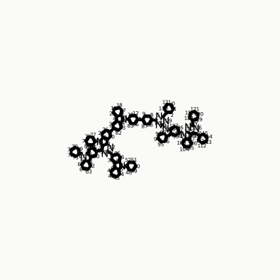 c1ccc(-c2nc(-c3ccc(-c4ccc(-n5c6ccccc6c6cc(-c7ccc8c(c7)c7nc(-c9ccc%10c(c9)c9ccccc9n%10-c9ccccc9)nc(-c9ccc%10c(c9)c9ccccc9n%10-c9ccccc9)c7n8-c7ccccc7)ccc65)cc4)cc3)nc(-n3c4ccccc4c4cc(-n5c6ccccc6c6c(-c7ccccc7)nc(-c7ccccc7)nc65)ccc43)n2)cc1